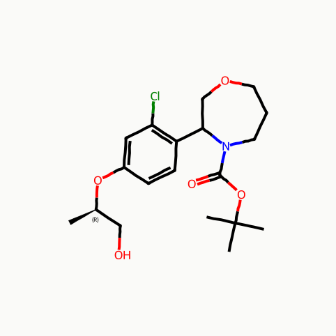 C[C@H](CO)Oc1ccc(C2COCCCN2C(=O)OC(C)(C)C)c(Cl)c1